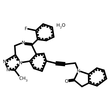 Cc1nnc2n1-c1ccc(C#CCN3C(=O)Cc4ccccc43)cc1C(c1ccccc1F)=NC2.O